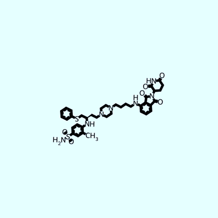 Cc1cc(S(N)(=O)=O)ccc1N[C@H](CCN1CCN(CCCCNc2cccc3c2C(=O)N(C2CCC(=O)NC2=O)C3=O)CC1)CSc1ccccc1